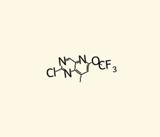 Cc1cc(OC(F)(F)F)nc2cnc(Cl)nc12